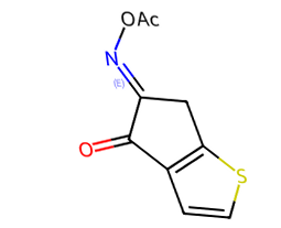 CC(=O)O/N=C1\Cc2sccc2C1=O